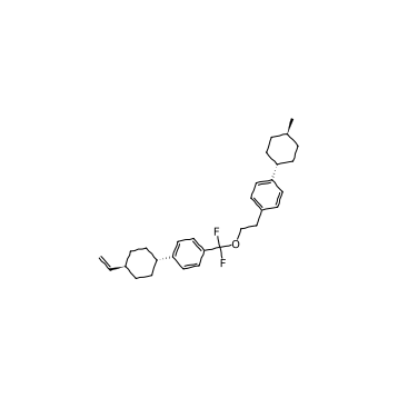 C=C[C@H]1CC[C@H](c2ccc(C(F)(F)OCCc3ccc([C@H]4CC[C@H](C)CC4)cc3)cc2)CC1